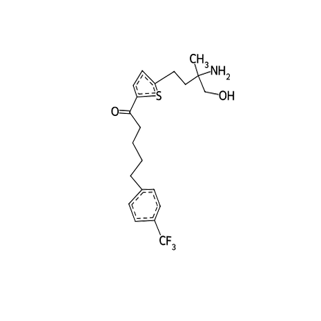 CC(N)(CO)CCc1ccc(C(=O)CCCCc2ccc(C(F)(F)F)cc2)s1